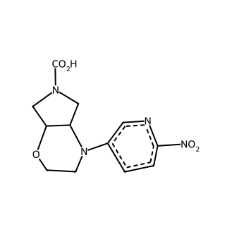 O=C(O)N1CC2OCCN(c3ccc([N+](=O)[O-])nc3)C2C1